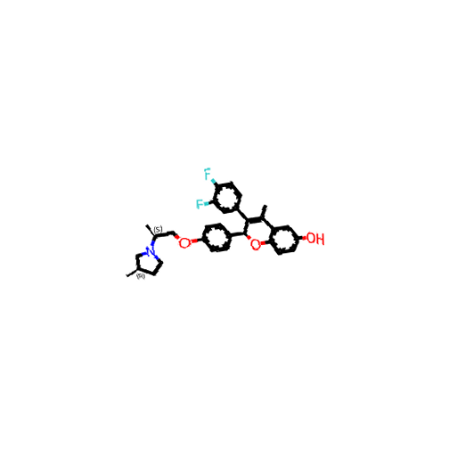 CC1=C(c2ccc(F)c(F)c2)C(c2ccc(OC[C@H](C)N3CC[C@@H](C)C3)cc2)Oc2ccc(O)cc21